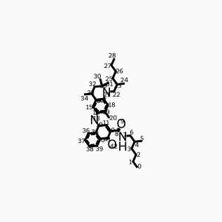 CCCCC(C)CNC(=O)C1=CC(=Nc2cc3c(cc2C)N(CC(C)CCCC)C(C)(C)CC3C)c2ccccc2C1=O